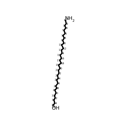 NCCCCCCCCCCCCCCCCCCCCCCCCCCCCCCCCCCCO